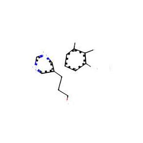 Cc1c(C(=O)O)cccc1C(=O)O.OCCCc1cncnc1